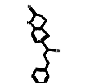 O=C1CCc2cc(C(O)CCc3cccnc3)ccc2N1